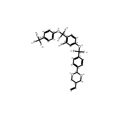 C=CC1COC(c2ccc(C(F)(F)Oc3ccc(C(F)(F)Oc4ccc(C(F)(F)F)cc4)c(F)c3)cc2)OC1